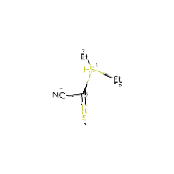 CC[SH](CC)C(=S)C#N